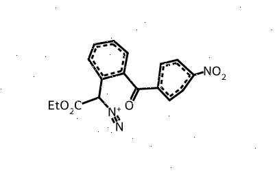 CCOC(=O)C([N+]#N)c1ccccc1C(=O)c1ccc([N+](=O)[O-])cc1